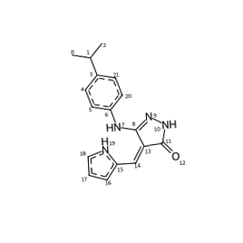 CC(C)c1ccc(NC2=NNC(=O)/C2=C/c2ccc[nH]2)cc1